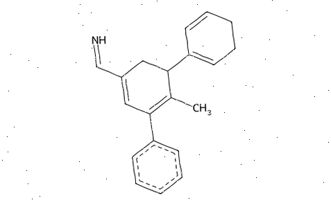 CC1=C(c2ccccc2)C=C(C=N)CC1C1=CCCC=C1